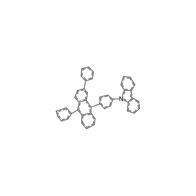 c1ccc(-c2ccc3c(-c4ccccc4)c4ccccc4c(-c4ccc(-n5c6ccccc6c6ccccc65)cc4)c3c2)cc1